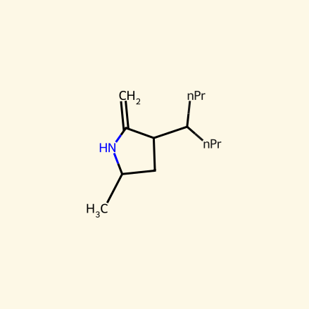 C=C1NC(C)CC1C(CCC)CCC